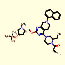 C=CC(=O)N1CCN(c2nc(OC[C@@H]3C[C@@H](O[Si](C)(C)C(C)(C)C)CN3C)nc3c2CCN(c2cccc4ccccc24)C3)CC1CC#N